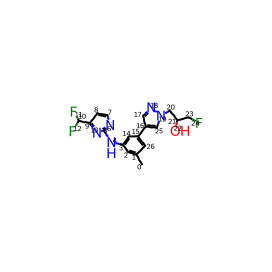 Cc1cc(Nc2nccc(C(F)F)n2)cc(-c2cnn(CC(O)CF)c2)c1